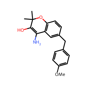 COc1ccc(Cc2ccc3c(c2)C(N)=C(O)C(C)(C)O3)cc1